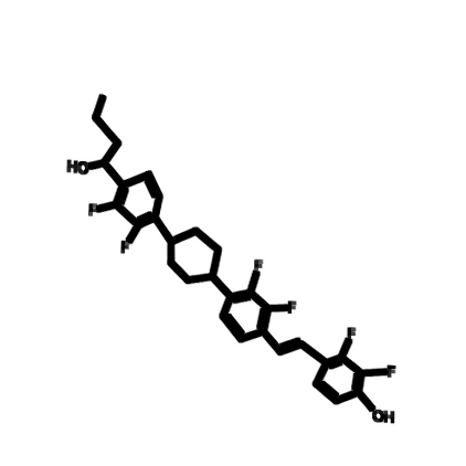 CCCC(O)c1ccc(C2CCC(c3ccc(/C=C/c4ccc(O)c(F)c4F)c(F)c3F)CC2)c(F)c1F